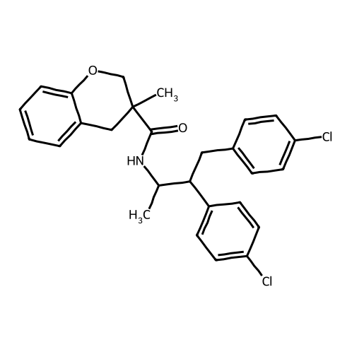 CC(NC(=O)C1(C)COc2ccccc2C1)C(Cc1ccc(Cl)cc1)c1ccc(Cl)cc1